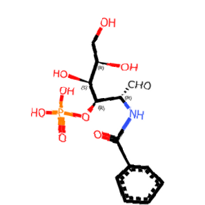 O=C[C@H](NC(=O)c1ccccc1)[C@@H](OP(=O)(O)O)[C@@H](O)[C@H](O)CO